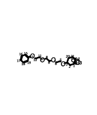 CC12CC(OCCOCCOCCOc3ccccc3)CCC1O2